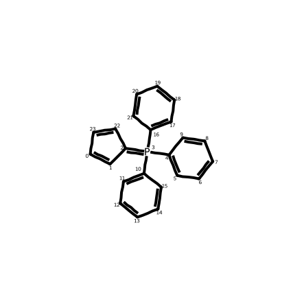 C1=CC(=P(c2ccccc2)(c2ccccc2)c2ccccc2)C=C1